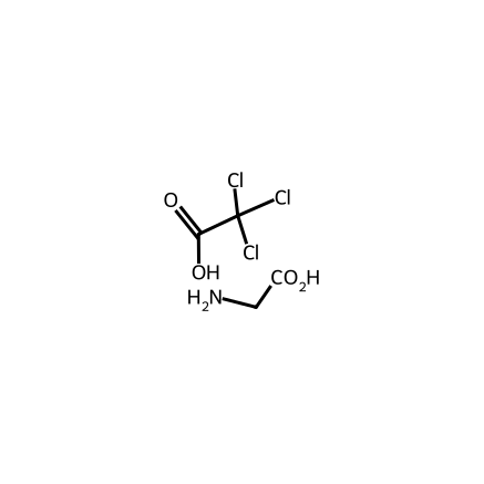 NCC(=O)O.O=C(O)C(Cl)(Cl)Cl